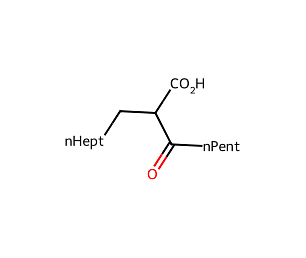 CCCCCCCCC(C(=O)O)C(=O)CCCCC